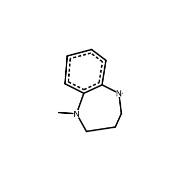 CN1CCC[N]c2ccccc21